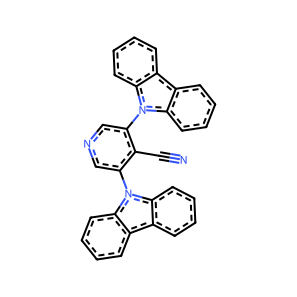 N#Cc1c(-n2c3ccccc3c3ccccc32)cncc1-n1c2ccccc2c2ccccc21